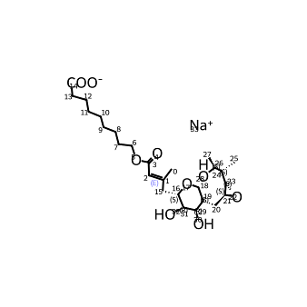 C/C(=C\C(=O)OCCCCCCCCC(=O)[O-])C[C@@H]1OC[C@H](C[C@@H]2O[C@H]2[C@@H](C)[C@H](C)O)[C@@H](O)[C@H]1O.[Na+]